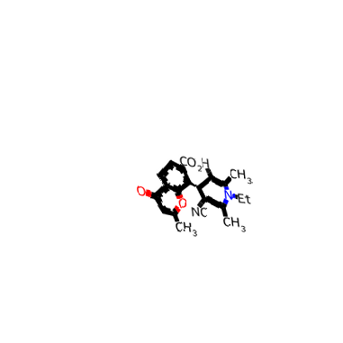 CCN1C(C)=C(C#N)[C@@H](c2cccc3c(=O)cc(C)oc23)C(C(=O)O)=C1C